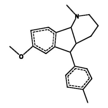 COc1ccc2c(c1)C(c1ccc(C)cc1)C1CCCN(C)C21